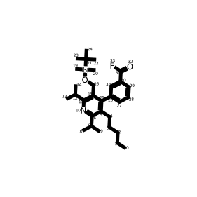 CCCCCc1c(C(C)C)nc(C(C)C)c(CO[Si](C)(C)C(C)(C)C)c1-c1cccc(C(=O)F)c1